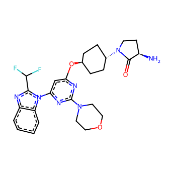 N[C@@H]1CCN([C@H]2CC[C@H](Oc3cc(-n4c(C(F)F)nc5ccccc54)nc(N4CCOCC4)n3)CC2)C1=O